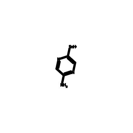 Nc1cn[c]([SnH])cn1